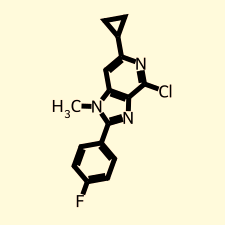 Cn1c(-c2ccc(F)cc2)nc2c(Cl)nc(C3CC3)cc21